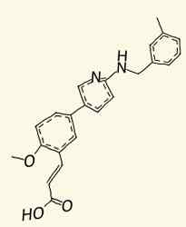 COc1ccc(-c2ccc(NCc3cccc(C)c3)nc2)cc1/C=C/C(=O)O